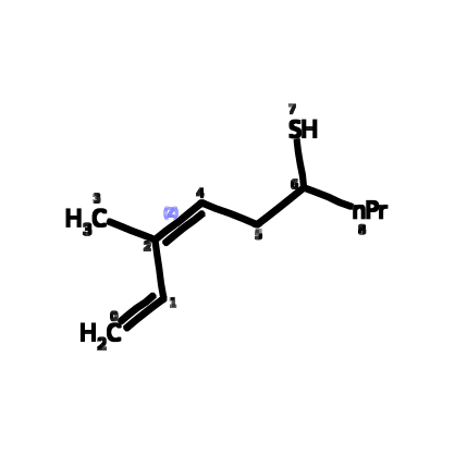 C=C/C(C)=C\CC(S)CCC